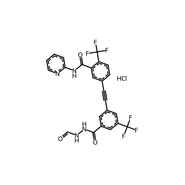 Cl.O=CNNC(=O)c1cc(C#Cc2ccc(C(F)(F)F)c(C(=O)Nc3ccccn3)c2)cc(C(F)(F)F)c1